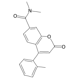 Cc1ccccc1-c1cc(=O)oc2cc(C(=O)N(C)C)ccc12